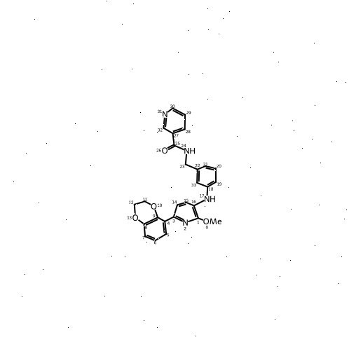 COc1nc(-c2cccc3c2OCCO3)ccc1Nc1cccc(CNC(=O)c2cccnc2)c1